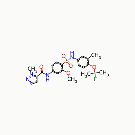 COc1cc(NC(=O)c2ccnn2C)ccc1S(=O)(=O)Nc1ccc(OC(C)(C)F)c(C)c1